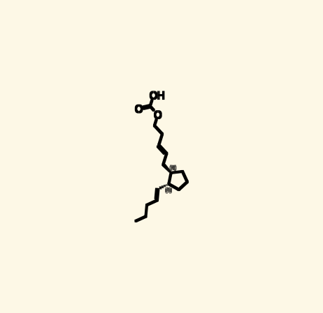 CCCC=C[C@H]1CCC[C@@H]1CC=CCCOC(=O)O